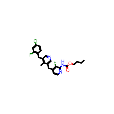 CCCCOC(=O)Nc1nccc(Cc2cncc(Cc3ccc(Cl)cc3F)c2C)c1F